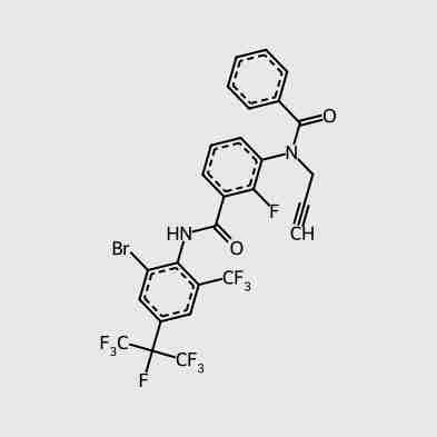 C#CCN(C(=O)c1ccccc1)c1cccc(C(=O)Nc2c(Br)cc(C(F)(C(F)(F)F)C(F)(F)F)cc2C(F)(F)F)c1F